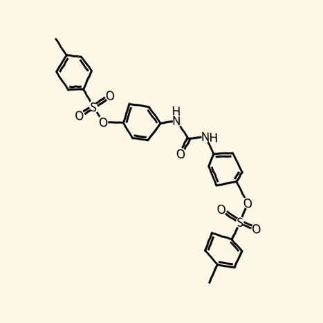 Cc1ccc(S(=O)(=O)Oc2ccc(NC(=O)Nc3ccc(OS(=O)(=O)c4ccc(C)cc4)cc3)cc2)cc1